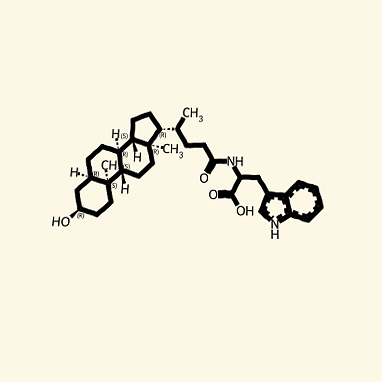 CC(CCC(=O)NC(Cc1c[nH]c2ccccc12)C(=O)O)[C@H]1CC[C@H]2[C@@H]3CC[C@@H]4C[C@H](O)CC[C@]4(C)[C@H]3CC[C@]12C